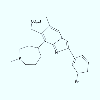 CCOC(=O)Cc1c(C)cn2cc(C3=CC(Br)CC=C3)nc2c1N1CCCP(C)CC1